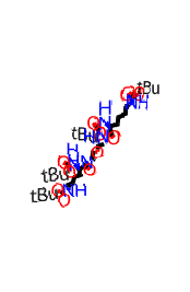 CC(C)(C)OC(=O)NCCCCC(NC(=O)OC(C)(C)C)C(=O)NCCOCCNC(=O)C(CCCCNC(=O)OC(C)(C)C)NC(=O)OC(C)(C)C